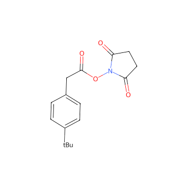 CC(C)(C)c1ccc(CC(=O)ON2C(=O)CCC2=O)cc1